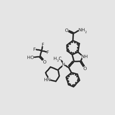 CN(C(=C1C(=O)Nc2cc(C(N)=O)ccc21)c1ccccc1)C1CCNCC1.O=C(O)C(F)(F)F